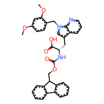 COc1ccc(Cn2cc(C[C@H](NC(=O)OCC3c4ccccc4-c4ccccc43)C(=O)O)c3cccnc32)c(OC)c1